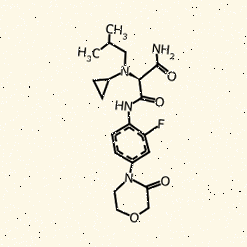 CC(C)CN(C1CC1)[C@@H](C(N)=O)C(=O)Nc1ccc(N2CCOCC2=O)cc1F